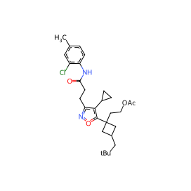 CC(=O)OCCC1(c2onc(CCC(=O)Nc3ccc(C)cc3Cl)c2C2CC2)CC(CC(C)(C)C)C1